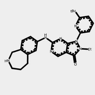 CCn1c(=O)c2cnc(Nc3ccc4c(c3)CCCNC4)nc2n1-c1cccc(C(C)(C)C)n1